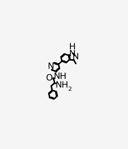 Cc1n[nH]c2ccc(-c3cncc(NC(=O)C(N)Cc4ccccc4)c3)cc12